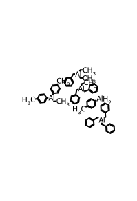 C[CH2][Al]([CH2]C)[CH2]c1ccccc1.C[CH2][Al]([CH2]c1ccccc1)[CH2]c1ccccc1.C[CH2][Al]([c]1ccc(C)cc1)[c]1ccc(C)cc1.Cc1cc[c]([AlH2])cc1.c1ccc([CH2][Al]([CH2]c2ccccc2)[CH2]c2ccccc2)cc1